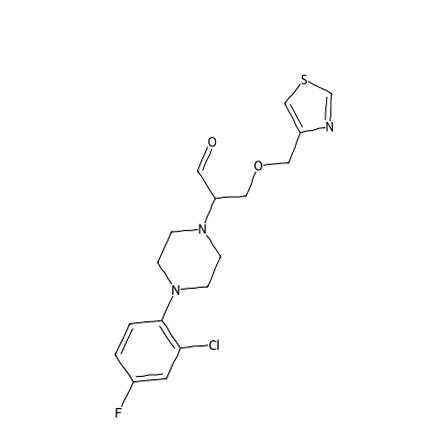 O=CC(COCc1cscn1)N1CCN(c2ccc(F)cc2Cl)CC1